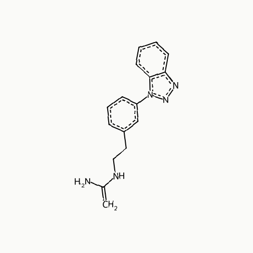 C=C(N)NCCc1cccc(-n2nnc3ccccc32)c1